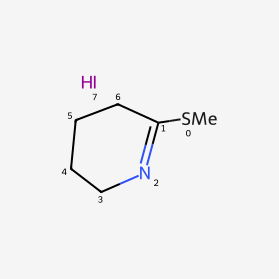 CSC1=NCCCC1.I